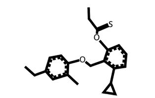 CCC(=S)Oc1cccc(C2CC2)c1COc1ccc(CC)cc1C